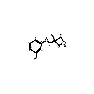 Cc1[c]ccc(OCC2(C)COC2)c1